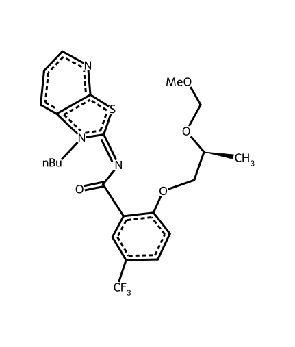 CCCCn1c(=NC(=O)c2cc(C(F)(F)F)ccc2OC[C@H](C)OCOC)sc2ncccc21